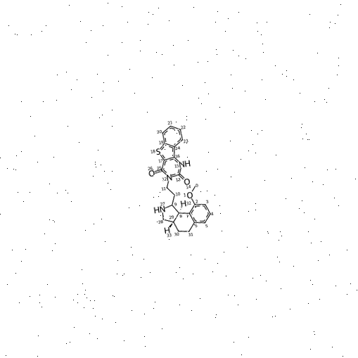 COc1cccc2c1[C@@H]1C(CCn3c(=O)[nH]c4c(sc5ccccc54)c3=O)NC[C@H]1CC2